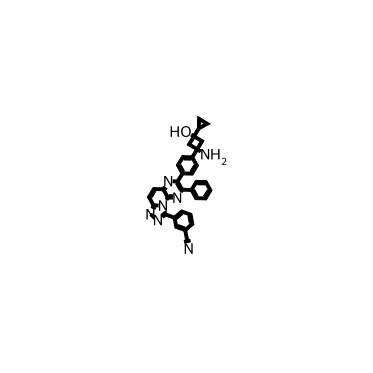 N#Cc1cccc(-c2nnc3ccc4nc(-c5ccc(C6(N)CC(O)(C7CC7)C6)cc5)c(-c5ccccc5)nc4n23)c1